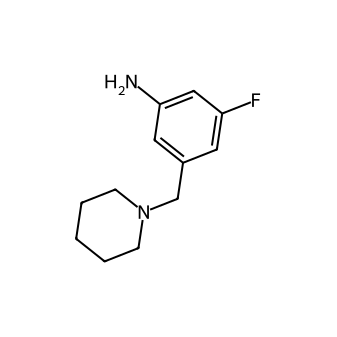 Nc1cc(F)cc(CN2CCCCC2)c1